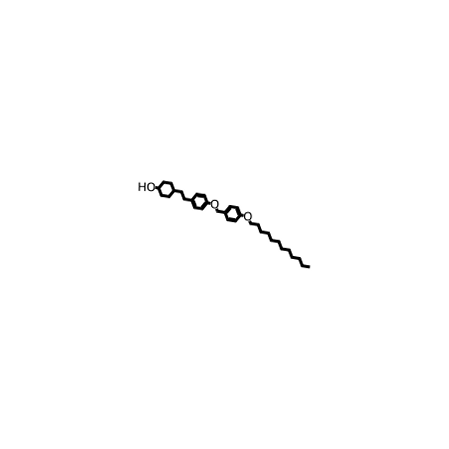 CCCCCCCCCCCCOc1ccc(COc2ccc(CCC3CCC(O)CC3)cc2)cc1